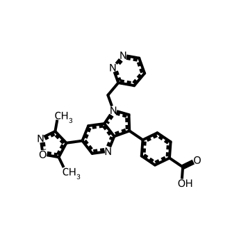 Cc1noc(C)c1-c1cnc2c(-c3ccc(C(=O)O)cc3)cn(Cc3cccnn3)c2c1